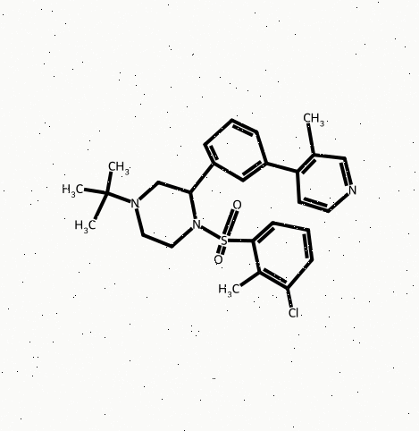 Cc1cnccc1-c1cccc(C2CN(C(C)(C)C)CCN2S(=O)(=O)c2cccc(Cl)c2C)c1